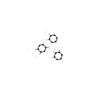 CCc1ccccc1Pc1cc(C)c(C)cc1C.Cc1cccc(P)c1C(C)C